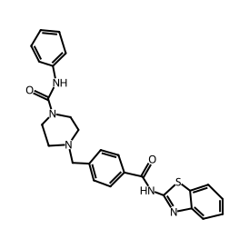 O=C(Nc1nc2ccccc2s1)c1ccc(CN2CCN(C(=O)Nc3ccccc3)CC2)cc1